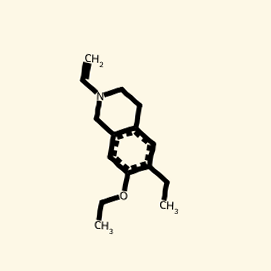 C=CN1CCc2cc(CC)c(OCC)cc2C1